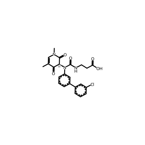 CC1=CN(C)C(=O)[C@@H](N(C(=O)NCCC(=O)O)c2cccc(-c3cccc(Cl)c3)c2)C1=O